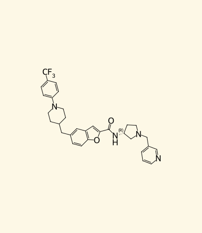 O=C(N[C@@H]1CCN(Cc2cccnc2)C1)c1cc2cc(CC3CCN(c4ccc(C(F)(F)F)cc4)CC3)ccc2o1